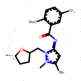 COc1ccc(C(F)(F)F)cc1C(=O)N=c1cc(C(C)(C)C)n(C)n1CC1CC[C@H](C)O1